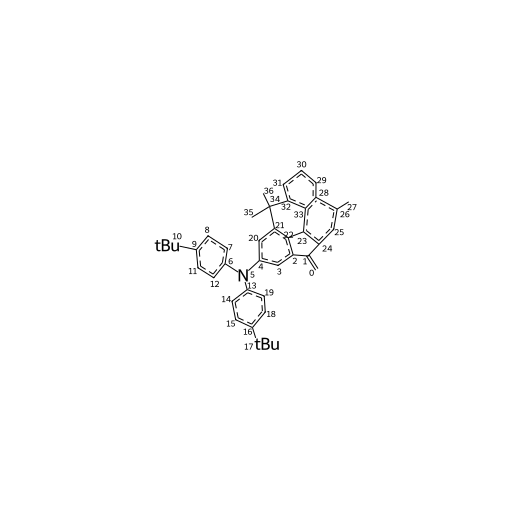 C=C1c2cc(N(c3ccc(C(C)(C)C)cc3)c3ccc(C(C)(C)C)cc3)cc3c2-c2c1cc(C)c1cccc(c21)C3(C)C